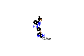 COc1cc2nccc(Sc3ccc(Nc4nnc(-c5cc(C)cs5)c5ccccc45)cc3)c2cn1